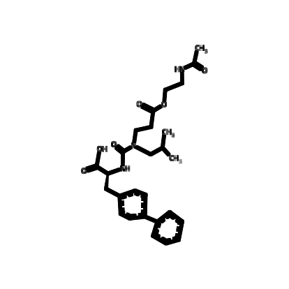 CC(=O)NCCOC(=O)CCN(CC(C)C)C(=O)N[C@@H](Cc1ccc(-c2ccccc2)cc1)C(=O)O